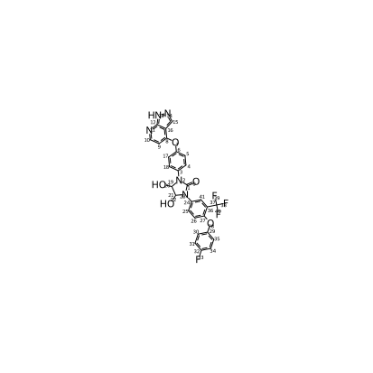 O=C1N(c2ccc(Oc3ccnc4[nH]ncc34)cc2)C(O)C(O)N1c1ccc(Oc2ccc(F)cc2)c(C(F)(F)F)c1